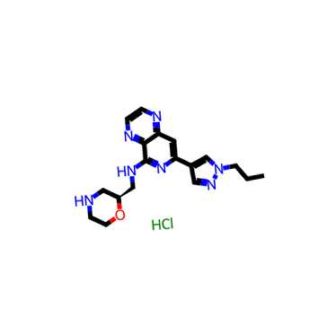 CCCn1cc(-c2cc3nccnc3c(NC[C@@H]3CNCCO3)n2)cn1.Cl